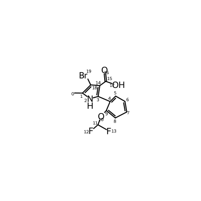 Cc1[nH]c(-c2ccccc2OC(F)F)c(C(=O)O)c1Br